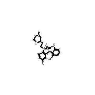 O=S1(=O)N(CC[C@@H]2CNCCO2)c2ccc(F)cc2N1c1c(F)cccc1F